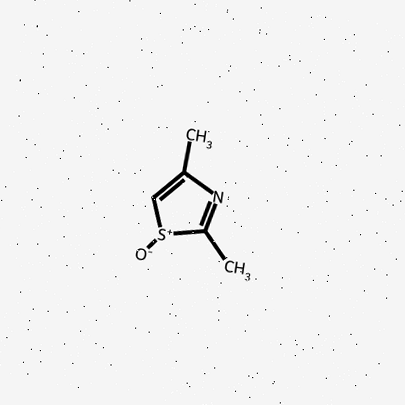 Cc1c[s+]([O-])c(C)n1